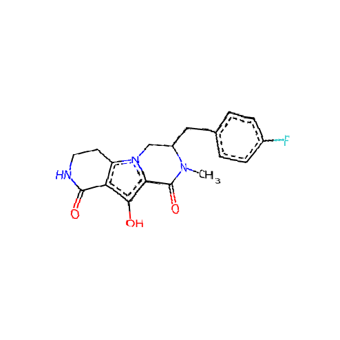 CN1C(=O)c2c(O)c3c(n2CC1Cc1ccc(F)cc1)CCNC3=O